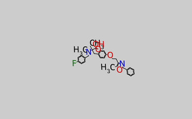 CCC(Cc1ccc(OCCc2nc(-c3ccccc3)oc2C)cc1)(C(=O)O)N(C)Cc1ccc(F)cc1